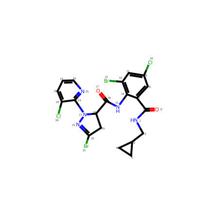 O=C(NCC1CC1)c1cc(Cl)cc(Br)c1NC(=O)C1CC(Br)=NN1c1ncccc1Cl